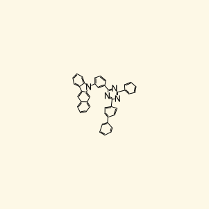 c1ccc(-c2ccc(-c3nc(-c4ccccc4)nc(-c4cccc(-n5c6ccccc6c6cc7ccccc7cc65)c4)n3)cc2)cc1